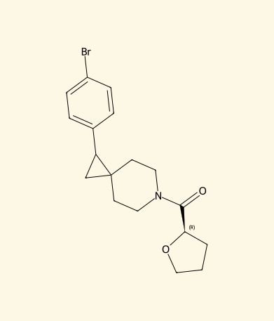 O=C([C@H]1CCCO1)N1CCC2(CC1)CC2c1ccc(Br)cc1